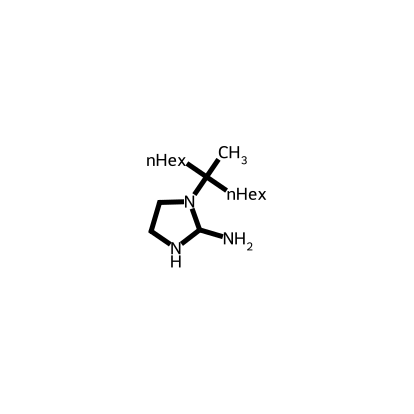 CCCCCCC(C)(CCCCCC)N1CCNC1N